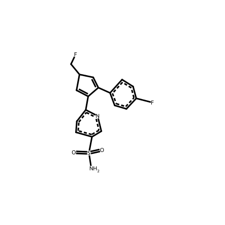 NS(=O)(=O)c1ccc(C2=CC(CF)C=C2c2ccc(F)cc2)nc1